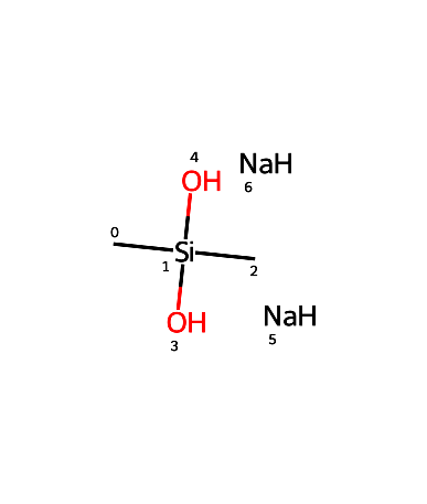 C[Si](C)(O)O.[NaH].[NaH]